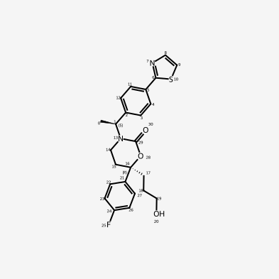 C[C@@H](c1ccc(-c2nccs2)cc1)N1CC[C@](CCCO)(c2ccc(F)cc2)OC1=O